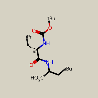 CCC(C)CC(NC(=O)[C@H](CC(C)C)NC(=O)OC(C)(C)C)C(=O)O